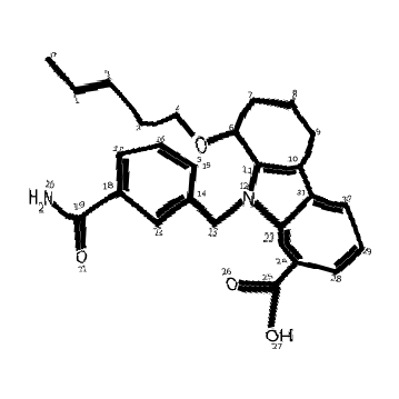 CCCCCOC1CCCc2c1n(Cc1cccc(C(N)=O)c1)c1c(C(=O)O)cccc21